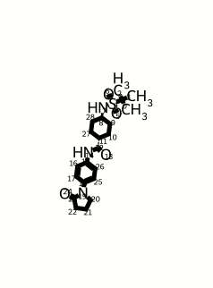 CC(C)(C)S(=O)(=O)N[C@H]1CC[C@H](C(=O)Nc2ccc(N3CCCC3=O)cc2)CC1